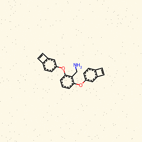 NCc1c(Oc2ccc3c(c2)C=C3)cccc1Oc1ccc2c(c1)C=C2